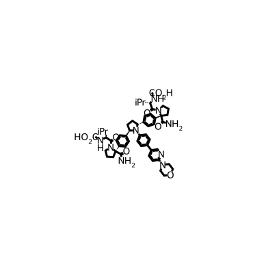 CC(C)[C@H](NC(=O)O)C(=O)N1CCC[C@@]1(C(N)=O)c1ccc([C@H]2CC[C@H](c3ccc([C@]4(C(N)=O)CCCN4C(=O)[C@@H](NC(=O)O)C(C)C)cc3)N2c2ccc(-c3ccc(N4CCOCC4)nc3)cc2)cc1